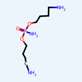 NCCCCOP(N)(=O)OCCCCN